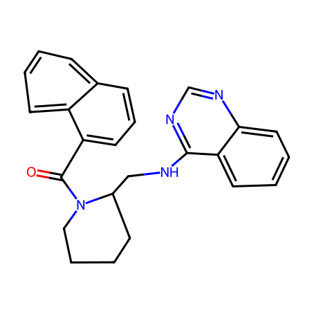 O=C(c1cccc2ccccc12)N1CCCCC1CNc1ncnc2ccccc12